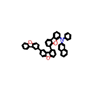 c1ccc(N(c2ccc3ccccc3c2)c2cccc3c2oc2c(-c4cccc5oc6ccc(-c7ccc8oc9ccccc9c8c7)cc6c45)cccc23)cc1